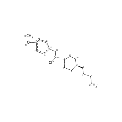 [CH2]CCC[C@H]1CC[C@H](C(Cl)Cc2ccc(OC)cc2)CC1